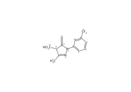 CC1=NN(c2cccc(C(F)(F)F)c2)C(=O)C1C(=O)O